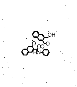 COc1cc2ccccc2cc1C(=O)Nc1ccccc1OC(=O)c1cc2ccccc2cc1CO